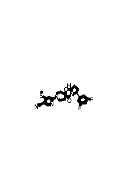 CSc1cc(N2CCC3(CC2)O[C@@H]2CC[C@@H](c4cc(F)cc(F)c4)N2C3=O)ncc1C#N